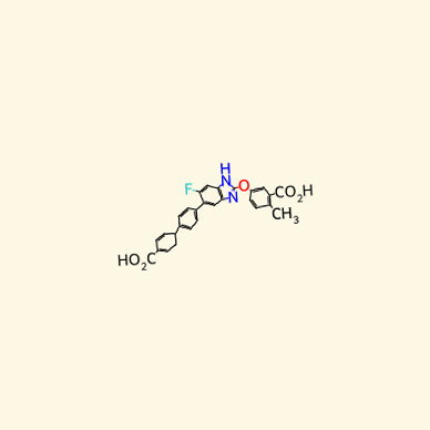 Cc1ccc(Oc2nc3cc(-c4ccc(C5C=CC(C(=O)O)=CC5)cc4)c(F)cc3[nH]2)cc1C(=O)O